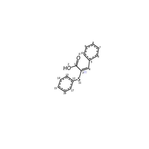 O=C(O)/C(=C\c1ccccc1)Sc1ccccc1